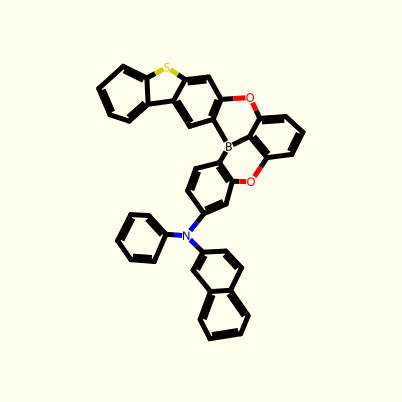 c1ccc(N(c2ccc3c(c2)Oc2cccc4c2B3c2cc3c(cc2O4)sc2ccccc23)c2ccc3ccccc3c2)cc1